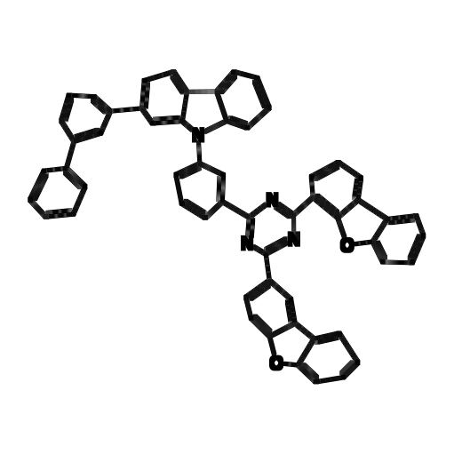 c1ccc(-c2cccc(-c3ccc4c5ccccc5n(-c5cccc(-c6nc(-c7ccc8oc9ccccc9c8c7)nc(-c7cccc8c7oc7ccccc78)n6)c5)c4c3)c2)cc1